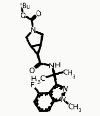 Cn1nc(C(C)(C)NC(=O)C2C3CN(C(=O)OC(C)(C)C)CC32)c2c(F)cccc21